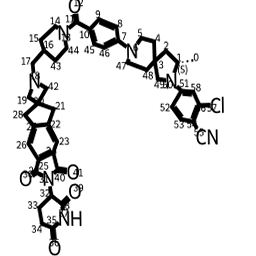 C[C@H]1CC2(CCN(c3ccc(C(=O)N4CCC(CN5CC6(Cc7cc8c(cc7C6)C(=O)N(C6CCC(=O)NC6=O)C8=O)C5)CC4)cc3)CC2)CN1c1ccc(C#N)c(Cl)c1